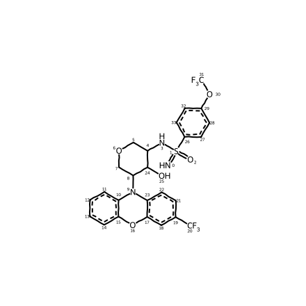 N=S(=O)(NC1COCC(N2c3ccccc3Oc3cc(C(F)(F)F)ccc32)C1O)c1ccc(OC(F)(F)F)cc1